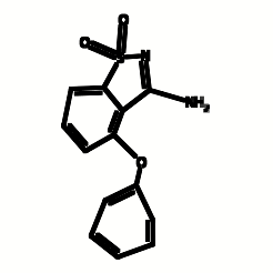 NC1=NS(=O)(=O)c2cccc(Oc3ccccc3)c21